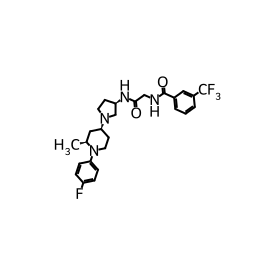 C[C@H]1C[C@@H](N2CC[C@@H](NC(=O)CNC(=O)c3cccc(C(F)(F)F)c3)C2)CCN1c1ccc(F)cc1